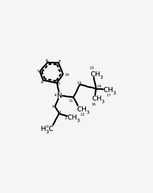 CC(C)CN(c1ccccc1)C(C)CC(C)(C)C